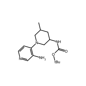 CC1CC(NC(=O)OC(C)(C)C)CN(c2ccncc2N)C1